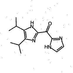 CC(C)c1nc(C(=O)c2ncc[nH]2)[nH]c1C(C)C